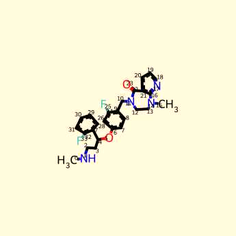 CNCCC(Oc1ccc(CN2CCN(C)c3ncccc3C2=O)c(F)c1)c1ccccc1F